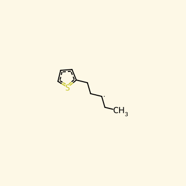 CC[CH]CCc1cccs1